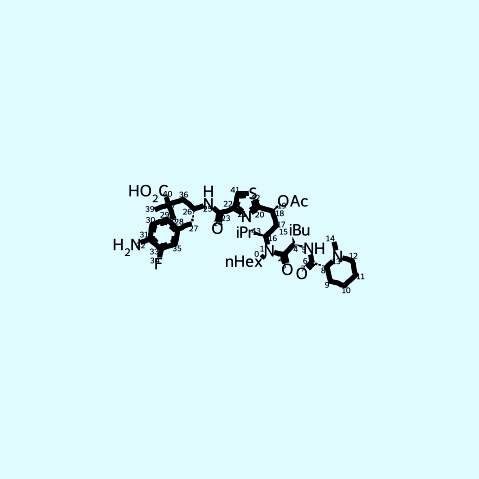 CCCCCCN(C(=O)[C@@H](NC(=O)[C@H]1CCCCN1C)[C@@H](C)CC)[C@H](C[C@@H](OC(C)=O)c1nc(C(=O)N[C@H](Cc2ccc(N)c(F)c2)CC(C)(C)C(=O)O)cs1)C(C)C